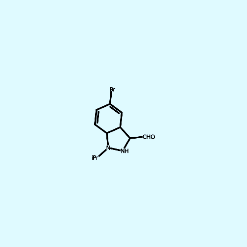 CC(C)N1NC(C=O)C2C=C(Br)C=CC21